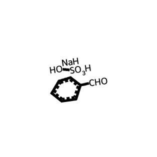 O=Cc1ccccc1.O=S(=O)(O)O.[NaH]